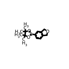 CC1(C)OB(c2ccc3c(c2)COC3)OC1(C)C